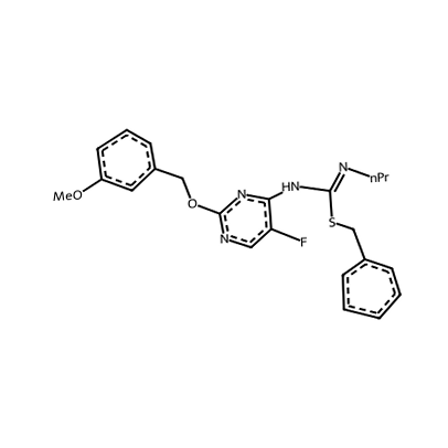 CCC/N=C(/Nc1nc(OCc2cccc(OC)c2)ncc1F)SCc1ccccc1